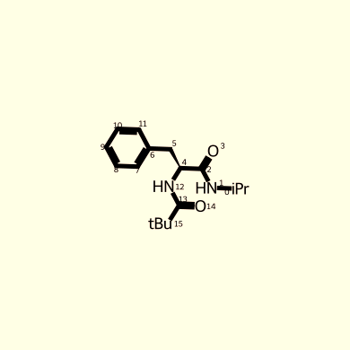 CC(C)NC(=O)[C@H](Cc1ccccc1)NC(=O)C(C)(C)C